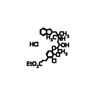 CCOC(=O)CCc1ccc(O[C@H](C)[C@H](O)CNC(C)(C)CC2Cc3ccccc3C2)c(Cl)c1Cl.Cl